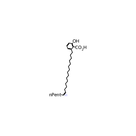 CCCCC/C=C\CCCCCCCCCCCCCCc1cccc(O)c1C(=O)O